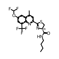 CCCCNC(=O)[C@@H]1CSC(c2cc(C)c3cc(OC(F)F)cc(C(F)(F)F)c3n2)=N1